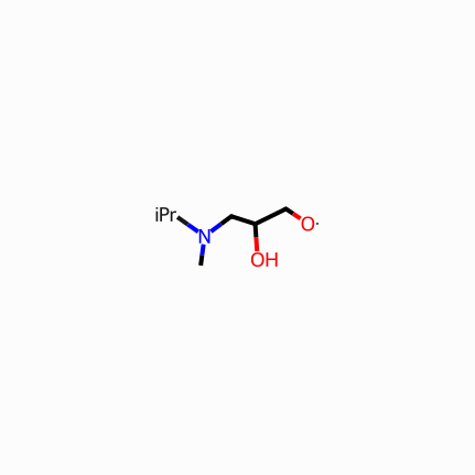 CC(C)N(C)CC(O)C[O]